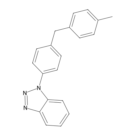 Cc1ccc(Cc2ccc(-n3nnc4ccccc43)cc2)cc1